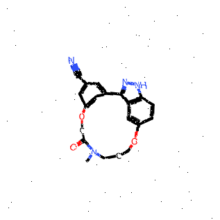 CN1CCCOc2ccc3[nH]nc(c3c2)-c2cc(C#N)cc(c2)OCC1=O